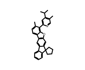 Cc1cnc(-c2c(C)ccc3c2oc2cc4c(cc23)-c2ccccc2C42CCCC2)cc1C(C)C